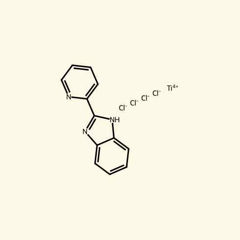 [Cl-].[Cl-].[Cl-].[Cl-].[Ti+4].c1ccc(-c2nc3ccccc3[nH]2)nc1